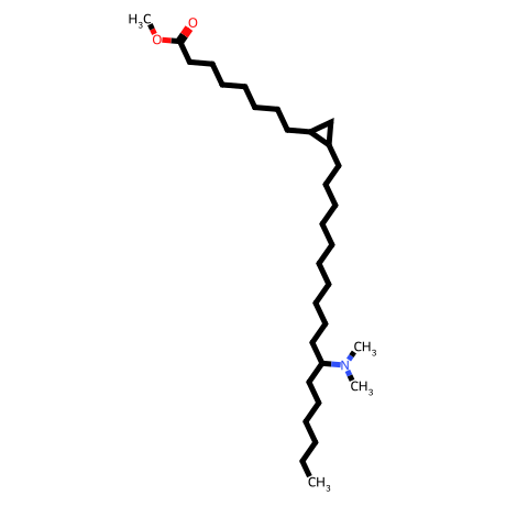 CCCCCCC(CCCCCCCCCCC1CC1CCCCCCCC(=O)OC)N(C)C